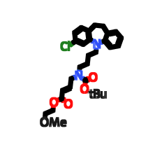 COCCOC(=O)/C=C/CN(CCCCN1c2ccccc2CCc2ccc(Cl)cc21)C(=O)OC(C)(C)C